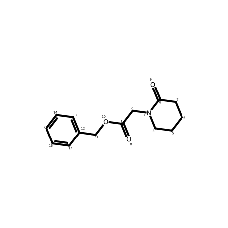 O=C(CN1CCCCC1=O)OCc1ccccc1